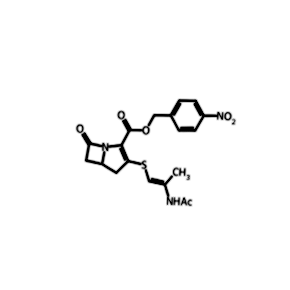 CC(=O)NC(C)=CSC1=C(C(=O)OCc2ccc([N+](=O)[O-])cc2)N2C(=O)CC2C1